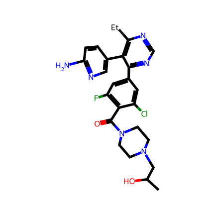 CCc1ncnc(-c2cc(F)c(C(=O)N3CCN(CC(C)O)CC3)c(Cl)c2)c1-c1ccc(N)nc1